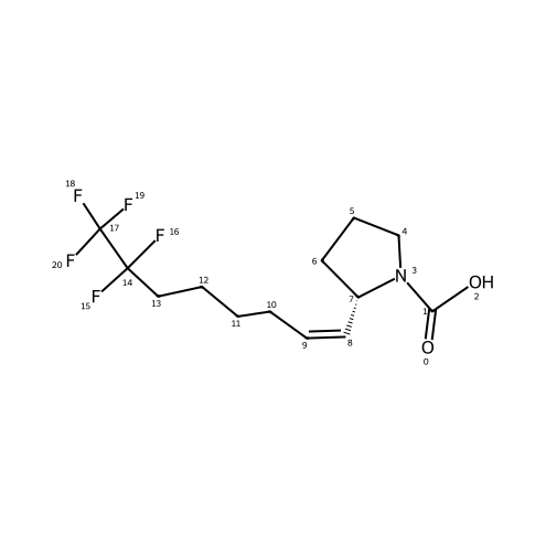 O=C(O)N1CCC[C@H]1/C=C\CCCCC(F)(F)C(F)(F)F